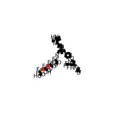 CC1(NCc2cc(O[C@H]3CC[C@@H](N4CC(CC#N)(n5cc(-c6ncnc7[nH]ccc67)cn5)C4)CC3)nc(C(F)(F)F)c2)COC1.O=C(O)C(F)(F)F.O=C(O)C(F)(F)F.O=C(O)C(F)(F)F.O=C(O)C(F)(F)F